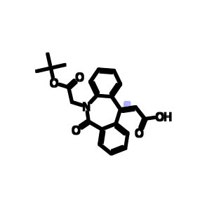 CC(C)(C)OC(=O)CN1C(=O)c2ccccc2/C(=C\C(=O)O)c2ccccc21